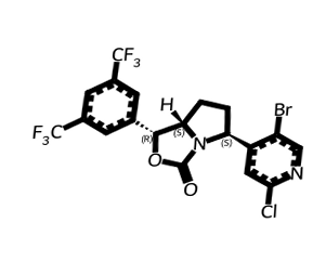 O=C1O[C@H](c2cc(C(F)(F)F)cc(C(F)(F)F)c2)[C@@H]2CC[C@@H](c3cc(Cl)ncc3Br)N12